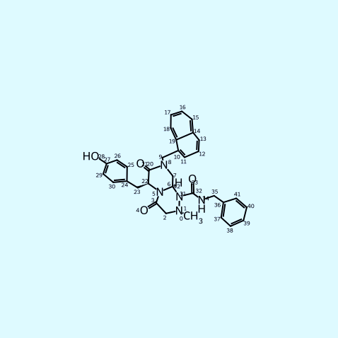 CN1CC(=O)N2[C@@H](CN(Cc3cccc4ccccc34)C(=O)[C@@H]2Cc2ccc(O)cc2)N1C(=O)NCc1ccccc1